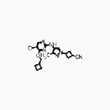 Cc1nn(C2CC(C#N)C2)cc1Nc1ncc(Cl)c(OCC2CCC2)n1